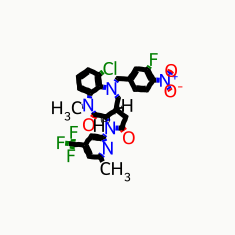 Cc1cc(C(F)(F)F)cc(N2C(=O)C[C@@H]3CN(Cc4ccc([N+](=O)[O-])c(F)c4)c4c(Cl)cccc4N(C)C(=O)[C@H]32)n1